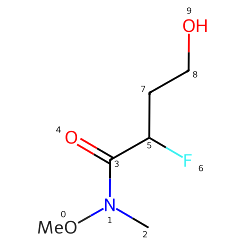 CON(C)C(=O)C(F)CCO